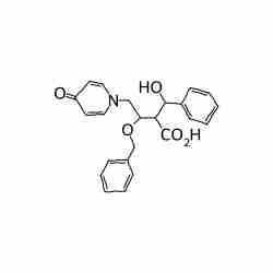 O=C(O)C(C(Cn1ccc(=O)cc1)OCc1ccccc1)C(O)c1ccccc1